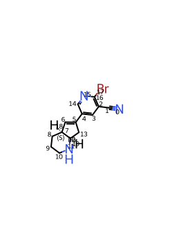 N#Cc1cc(C2=C[C@@H]3CCCN[C@@H]3C2)cnc1Br